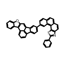 c1ccc(-c2nc3ccc4ccc5ccc(-c6ccc7c(c6)-c6cc8oc9ccccc9c8c8cccc-7c68)cc5c4c3s2)cc1